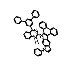 c1ccc(-c2cc(C3=NC(n4c5cc6c(ccn6-c6ccccc6)cc5c5c6ccccc6c6ccccc6c54)Nc4ccccc43)cc(-c3ccccc3)c2)cc1